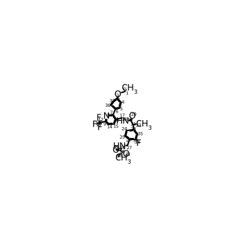 CCOc1ccc(-c2nc(C(F)(F)F)ccc2CNC(=O)C(C)c2ccc(CNS(C)(=O)=O)c(F)c2)cc1